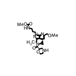 COCc1ccc2c([C@@H](C)N(C(=O)[C@H]3CNCCO3)C3CC3)nn(CCCNC(=O)OC)c2n1